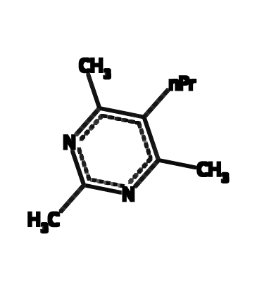 CCCc1c(C)nc(C)nc1C